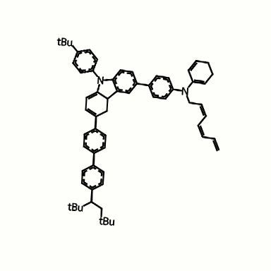 C=C/C=C\C=C/CN(C1=CCCC=C1)c1ccc(-c2ccc3c(c2)C2CC(c4ccc(-c5ccc(C(CC(C)(C)C)C(C)(C)C)cc5)cc4)=CC=C2N3c2ccc(C(C)(C)C)cc2)cc1